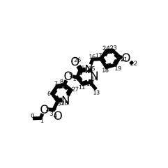 CCOC(=O)c1ccc(Oc2cc(C)nn(Cc3ccc(OC)cc3)c2=O)cn1